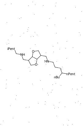 CCCCCC(CCCC)CCCNCC1COC2C(CNCC(C)CCC)COC12